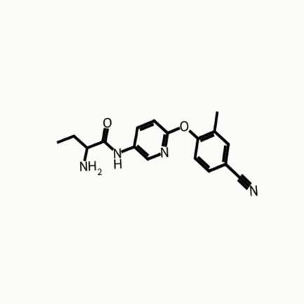 CCC(N)C(=O)Nc1ccc(Oc2ccc(C#N)cc2C)nc1